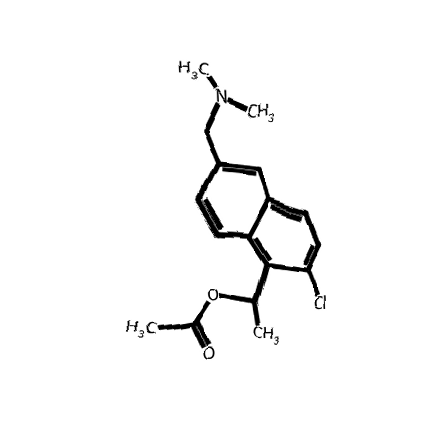 CC(=O)OC(C)c1c(Cl)ccc2cc(CN(C)C)ccc12